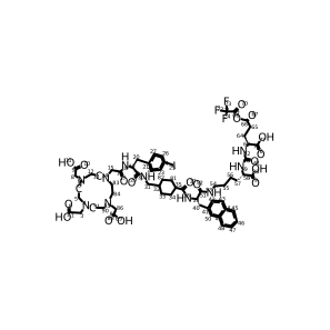 O=C(O)CN1CCN(CC(=O)O)CCN(CC(=O)N[C@@H](Cc2ccc(I)cc2)C(=O)NCC2CCC(C(=O)N[C@@H](Cc3ccc4ccccc4c3)C(=O)NCCCC[C@H](NC(=O)N[C@@H](CCC(=O)OC(=O)C(F)(F)F)C(=O)O)C(=O)O)CC2)CCN(CC(=O)O)CC1